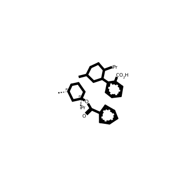 CC(C)[C@@]1(OC(=O)c2ccccc2)CCC[C@@H](C)C1.CC1CCC(C(C)C)C(c2ccccc2C(=O)O)C1